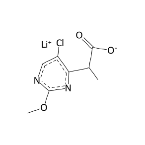 COc1ncc(Cl)c(C(C)C(=O)[O-])n1.[Li+]